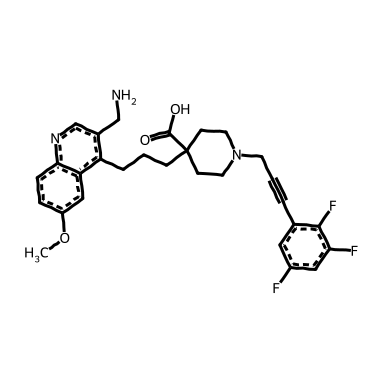 COc1ccc2ncc(CN)c(CCCC3(C(=O)O)CCN(CC#Cc4cc(F)cc(F)c4F)CC3)c2c1